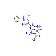 C=C1Nc2nc(C(=N)/C=C(/CC)NCc3ccccc3F)nc(N)c2C1(C)C(=C)NC1CC1